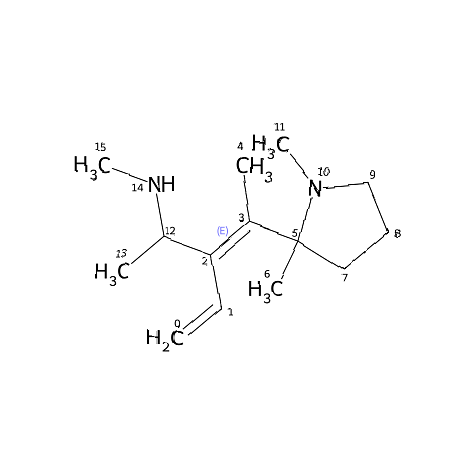 C=C/C(=C(/C)C1(C)CCCN1C)C(C)NC